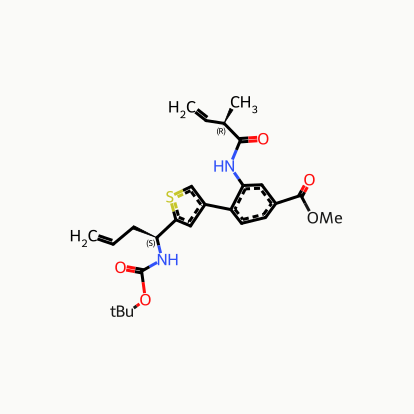 C=CC[C@H](NC(=O)OC(C)(C)C)c1cc(-c2ccc(C(=O)OC)cc2NC(=O)[C@H](C)C=C)cs1